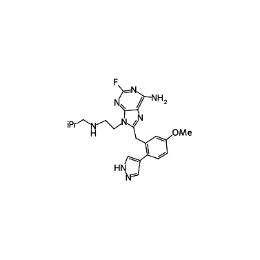 COc1ccc(-c2cn[nH]c2)c(Cc2nc3c(N)nc(F)nc3n2CCNCC(C)C)c1